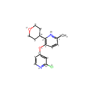 Cc1ccc(Oc2ccnc(Cl)c2)c(C2CCOCC2)n1